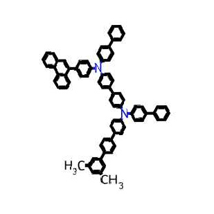 Cc1cc(C)cc(-c2ccc(-c3ccc(N(c4ccc(-c5ccccc5)cc4)c4ccc(-c5ccc(N(c6ccc(-c7ccccc7)cc6)c6ccc(-c7cc8ccccc8c8ccccc78)cc6)cc5)cc4)cc3)cc2)c1